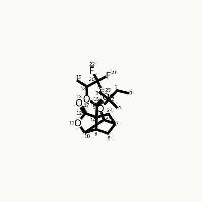 CCC(C)(C)OC1C2CC3C1OC(=O)C3(C(=O)OC(C)C(F)(F)F)C2